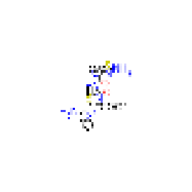 CON=C(C(=O)NC1C(=O)N2C(C(=O)[O-])=C(C[n+]3cc(N)cc4ccccc43)CS[C@@H]12)c1csc(N)n1